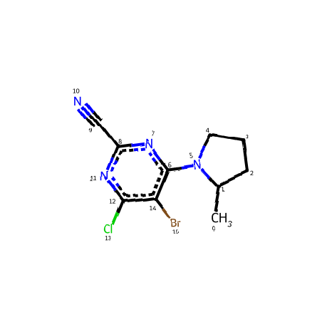 CC1CCCN1c1nc(C#N)nc(Cl)c1Br